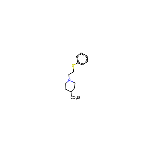 CCOC(=O)C1CCN(CCSc2ccccc2)CC1